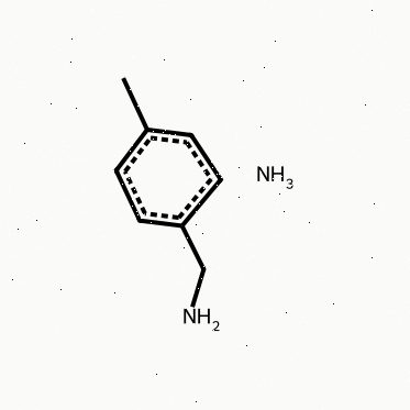 Cc1ccc(CN)cc1.N